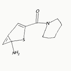 NC12C=C1C=C(C(=O)N1CCCC1)S2